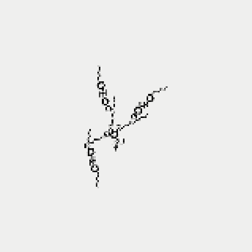 CCCCCc1ccc(N=Nc2ccc(OC(CCCC)CCCCCOc3cc(C(=O)OCC)cc(OCCCCCC(CCCC)Oc4ccc(N=Nc5ccc(CCCCC)cc5)cc4)c3OCCCCCC(CCCC)Oc3ccc(N=Nc4ccc(CCCCC)cc4)cc3)cc2)cc1